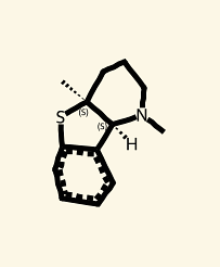 CN1CCC[C@]2(C)Sc3ccccc3[C@H]12